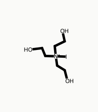 OCC[N+](I)(CCO)CCO